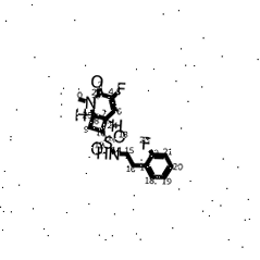 CN1C(=O)C(F)=C[C@@H]2[C@H]1C[C@H]2S(=O)(=O)NCCc1ccccc1F